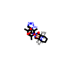 Cc1cc(C)c(S(=O)(=O)N2[C@@H]3CC[C@H]2[C@@H]2CN(C(=O)c4cnn[nH]4)C[C@@H]23)c(C)c1